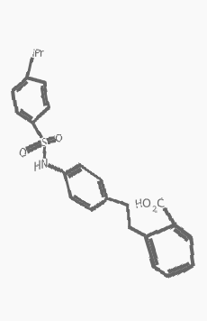 CC(C)c1ccc(S(=O)(=O)Nc2ccc(CCc3ccccc3C(=O)O)cc2)cc1